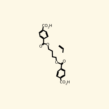 C=CC.O=C(O)c1ccc(C(=O)OCCCCOC(=O)c2ccc(C(=O)O)cc2)cc1